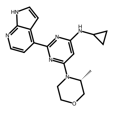 C[C@@H]1COCCN1c1cc(NC2CC2)nc(-c2ccnc3[nH]ccc23)n1